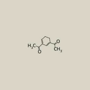 CC(=O)C1=CCCC(C(C)=O)=C1